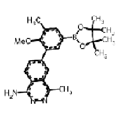 COc1c(C)cc(B2OC(C)(C)C(C)(C)O2)cc1-c1ccc2c(N)nnc(C)c2c1